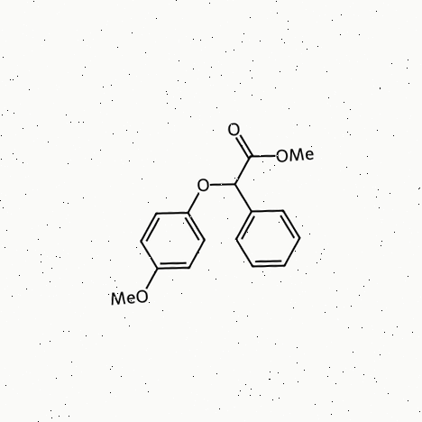 COC(=O)C(Oc1ccc(OC)cc1)c1ccccc1